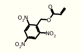 C=CC(=O)OCc1c([N+](=O)[O-])cc([N+](=O)[O-])cc1[N+](=O)[O-]